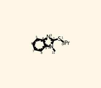 CC(C)Sc1nc2ccccc2n1C